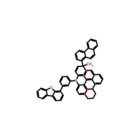 CC1(c2cccc3c2ccc2ccccc23)C=CC(N(c2cccc(-c3cccc4c3oc3ccccc34)c2)c2ccccc2-c2cccc3cccc(C4CCCCC4)c23)=CC1